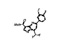 CNC(=O)c1cnn2c(C(F)F)cc(-c3ccc(F)c(F)c3)nc12